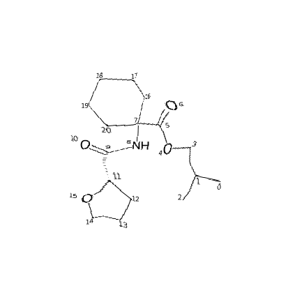 CC(C)COC(=O)C1(NC(=O)[C@@H]2CCCO2)CCCCC1